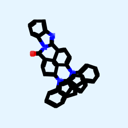 O=c1c2ccc(-n3c4ccccc4c4ccccc43)c3c(-n4c5ccccc5c5ccccc54)ccc(c32)c2nc3ccccc3n12